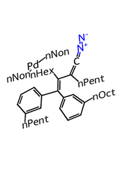 CCCCCCCC[CH2][Pd][CH2]CCCCCCCC.CCCCCCCCc1cccc(C(=C(CCCCCC)C(=C=[N+]=[N-])CCCCC)c2cccc(CCCCC)c2)c1